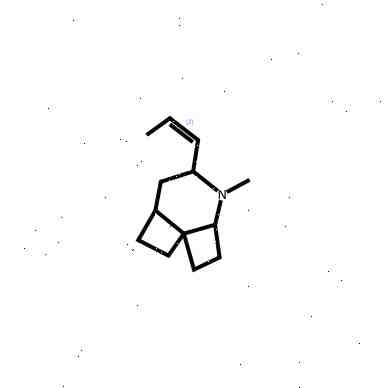 C/C=C\C1CC2CCC23CCC3N1C